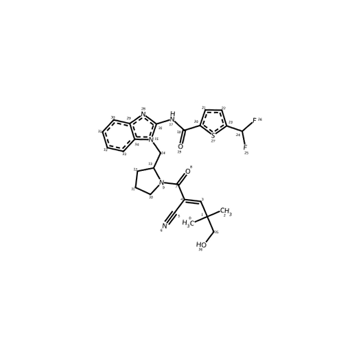 CC(C)(C=C(C#N)C(=O)N1CCCC1Cn1c(NC(=O)c2ccc(C(F)F)s2)nc2ccccc21)CO